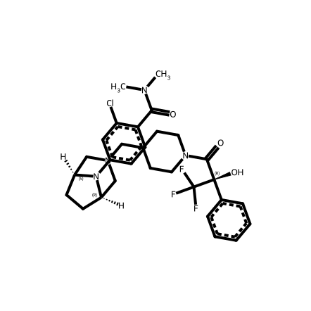 CN(C)C(=O)c1ccc(N2[C@@H]3CC[C@H]2CN(CC2CCN(C(=O)[C@](O)(c4ccccc4)C(F)(F)F)CC2)C3)cc1Cl